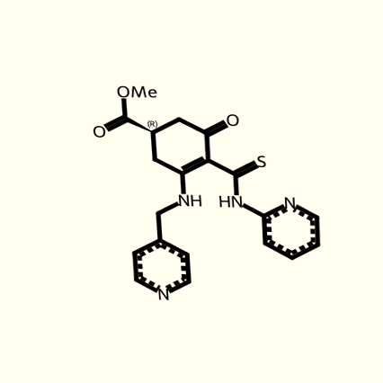 COC(=O)[C@H]1CC(=O)C(C(=S)Nc2ccccn2)=C(NCc2ccncc2)C1